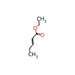 CCC=CC(=O)OCC